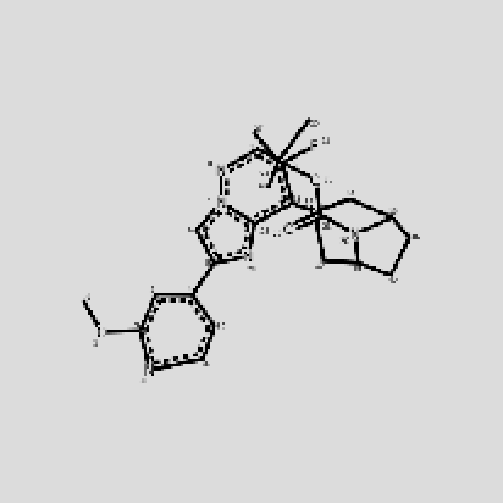 COc1cc(-c2cn3ncc(F)c(N4CC5CCC(C4)N5C(=O)OC(C)(C)C)c3n2)ccn1